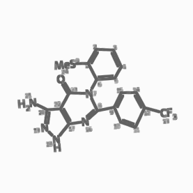 CSc1ccccc1-n1c(-c2ccc(C(F)(F)F)cc2)nc2[nH]nc(N)c2c1=O